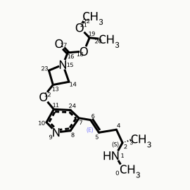 CN[C@@H](C)C/C=C/c1cncc(OC2CN(C(=O)OC(C)OC)C2)c1